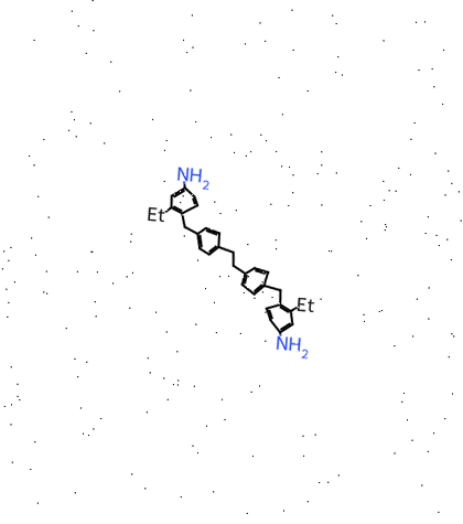 CCc1cc(N)ccc1Cc1ccc(CCc2ccc(Cc3ccc(N)cc3CC)cc2)cc1